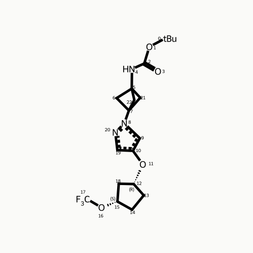 CC(C)(C)OC(=O)NC12CC(n3cc(O[C@@H]4CC[C@H](OC(F)(F)F)C4)cn3)(C1)C2